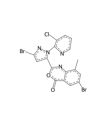 Cc1cc(Br)cc2c(=O)oc(-c3cc(Br)nn3-c3ncccc3Cl)nc12